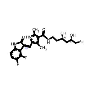 CC(=O)C[C@H](O)C[C@H](O)CCNC(=O)c1c(C)[nH]c(/C=C2\C(=O)Nc3ccc(F)c(F)c32)c1C